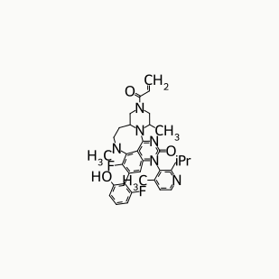 C=CC(=O)N1CC(C)N2c3nc(=O)n(-c4c(C)ccnc4C(C)C)c4cc(-c5c(O)cccc5F)c(F)c(c34)N(C)CCC2C1